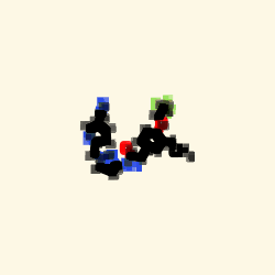 CCc1cc(CC(=O)Nc2ccn(Cc3ccc(C#N)cn3)n2)ccc1OCC(F)(F)F